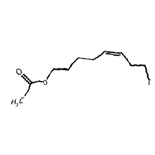 CC(=O)OCCCC/C=C\CCI